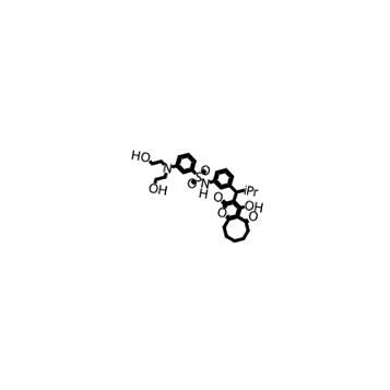 CC(C)C(c1cccc(NS(=O)(=O)c2cccc(N(CCO)CCO)c2)c1)c1c(O)c2c(oc1=O)CCCCCC2=O